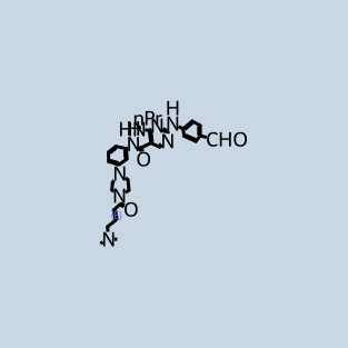 CCCNc1nc(Nc2ccc(C=O)cc2)ncc1C(=O)Nc1cccc(N2CCN(C(=O)/C=C/CN(C)C)CC2)c1